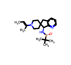 C/C=C(\C)N1CCC2(CC1)Cc1cccnc1[C@H]2N[S@+]([O-])C(C)(C)C